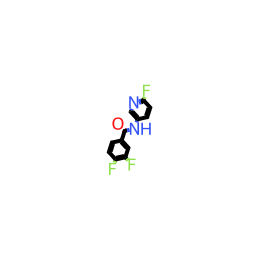 O=C(Nc1ccc(F)nc1)c1ccc(F)c(F)c1